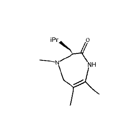 CC1=C(C)NC(=O)[C@H](C(C)C)N(C)C1